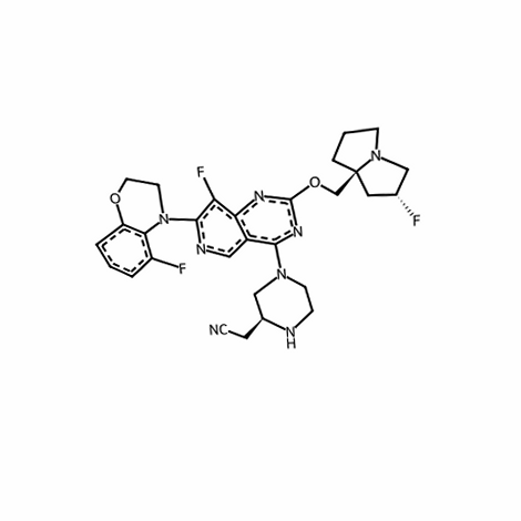 N#CC[C@H]1CN(c2nc(OC[C@@]34CCCN3C[C@H](F)C4)nc3c(F)c(N4CCOc5cccc(F)c54)ncc23)CCN1